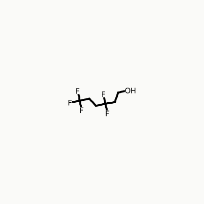 OCCC(F)(F)CCC(F)(F)F